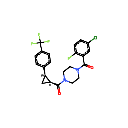 O=C(c1cc(Cl)ccc1F)N1CCN(C(=O)[C@H]2C[C@H]2c2ccc(C(F)(F)F)cc2)CC1